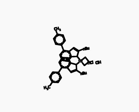 CCCCC1=Cc2c(-c3ccc(C)cc3)cccc2[CH]1[Hf]1([CH]2C(CCCC)=Cc3c(-c4ccc(C)cc4)cccc32)[CH2]C[CH2]1.Cl.Cl